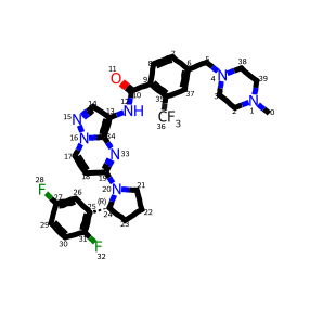 CN1CCN(Cc2ccc(C(=O)Nc3cnn4ccc(N5CCC[C@@H]5c5cc(F)ccc5F)nc34)c(C(F)(F)F)c2)CC1